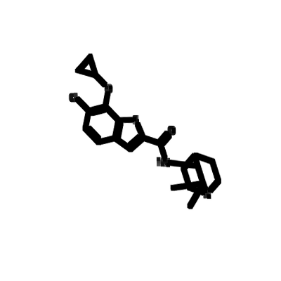 CC1(C)C(NC(=O)c2cc3ccc(Cl)c(OC4CC4)c3s2)C2CCN1CC2